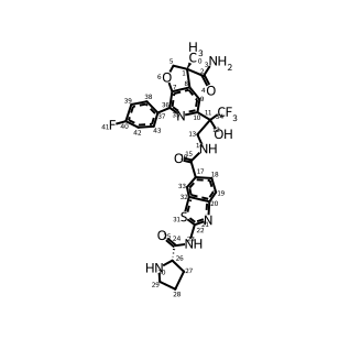 C[C@]1(C(N)=O)COc2c1cc(C(O)(CNC(=O)c1ccc3nc(NC(=O)[C@@H]4CCCN4)sc3c1)C(F)(F)F)nc2-c1ccc(F)cc1